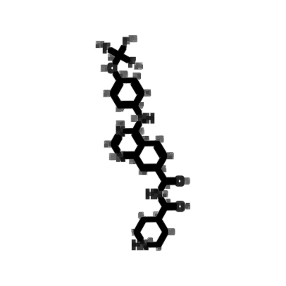 O=C(NC(=O)C1CCNCC1)c1ccc2c(Nc3ccc(OC(F)(F)F)cc3)ncnc2c1